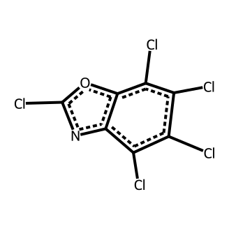 Clc1nc2c(Cl)c(Cl)c(Cl)c(Cl)c2o1